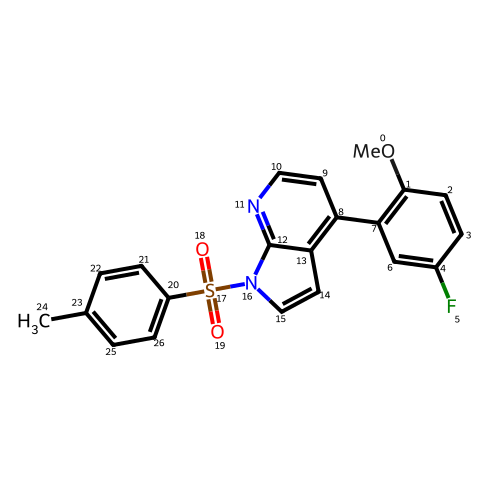 COc1ccc(F)cc1-c1ccnc2c1ccn2S(=O)(=O)c1ccc(C)cc1